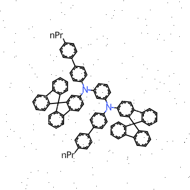 CCCc1ccc(-c2ccc(N(c3cccc(N(c4ccc(-c5ccc(CCC)cc5)cc4)c4ccc5c(c4)C4(c6ccccc6-c6ccccc64)c4ccccc4-5)c3)c3ccc4c(c3)C3(c5ccccc5-c5ccccc53)c3ccccc3-4)cc2)cc1